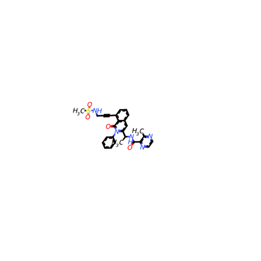 Cc1nccnc1C(=O)NC(C)c1cc2cccc(C#CCNS(C)(=O)=O)c2c(=O)n1-c1ccccc1